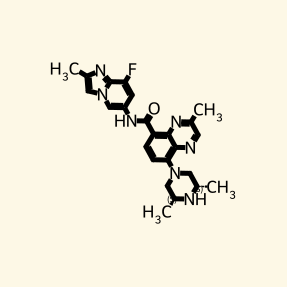 Cc1cnc2c(N3C[C@H](C)N[C@@H](C)C3)ccc(C(=O)Nc3cc(F)c4nc(C)cn4c3)c2n1